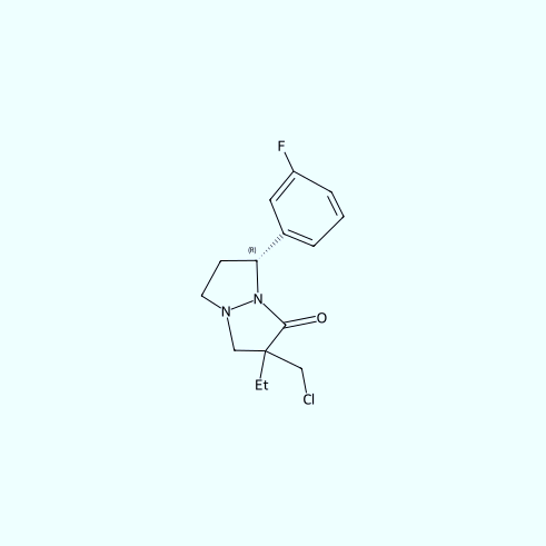 CCC1(CCl)CN2CC[C@H](c3cccc(F)c3)N2C1=O